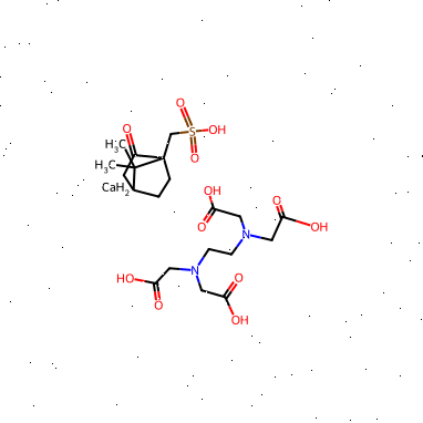 CC1(C)C2CCC1(CS(=O)(=O)O)C(=O)C2.O=C(O)CN(CCN(CC(=O)O)CC(=O)O)CC(=O)O.[CaH2]